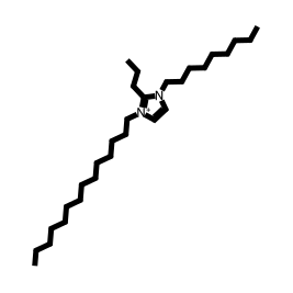 CCCCCCCCCCCCCC[n+]1ccn(CCCCCCCCC)c1CCC